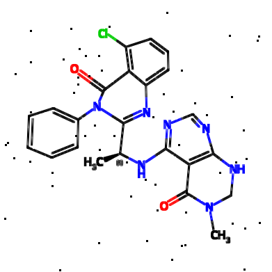 C[C@H](Nc1ncnc2c1C(=O)N(C)CN2)c1nc2cccc(Cl)c2c(=O)n1-c1ccccc1